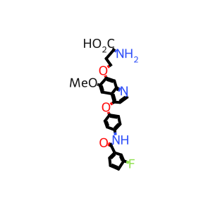 COc1cc2c(Oc3ccc(NC(=O)c4cccc(F)c4)cc3)ccnc2cc1OCC[C@H](N)C(=O)O